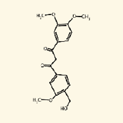 COc1cc(C(=O)CC(=O)c2ccc(OC)c(OC)c2)ccc1CO